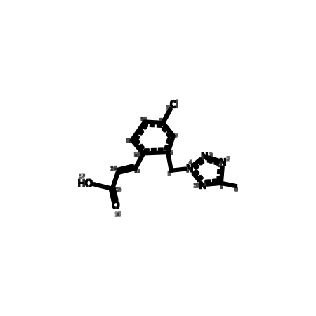 Cc1nnn(Cc2cc(Cl)ccc2C=CC(=O)O)n1